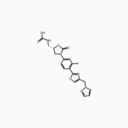 O=C1O[C@@H](CNC(O)=S)CN1c1ccc(-c2nc(Cn3cccn3)co2)c(F)c1